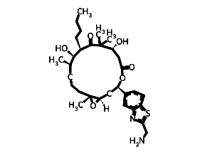 CCCC[C@H]1C(=O)C(C)(C)[C@H](O)CC(=O)O[C@@H](c2ccc3sc(CN)nc3c2)C[C@H]2O[C@]2(C)CCC[C@@H](C)[C@H]1O